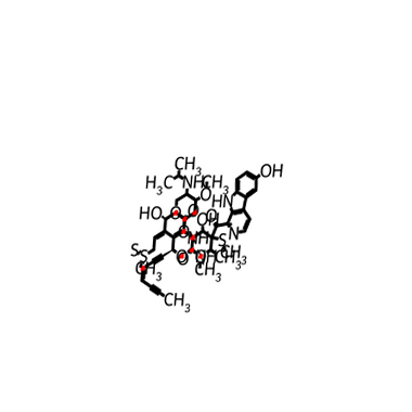 CC#C/C=C\C#C[C@H](OC1OC(C)C(SC)(C(=O)c2nccc3c2[nH]c2ccc(O)cc23)C(O)C1OC1CC(OC)C(NC(C)C)CO1)C1=C(NC(=O)NC)C(=O)C[C@H](O)/C1=C/CS(C)=S